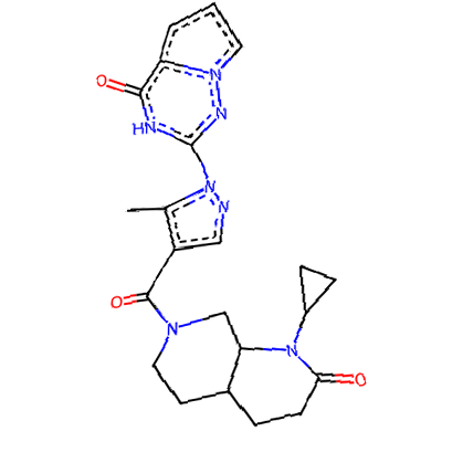 Cc1c(C(=O)N2CCC3CCC(=O)N(C4CC4)C3C2)cnn1-c1nn2cccc2c(=O)[nH]1